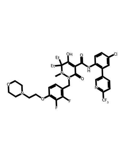 CCC1(CC)C(O)=C(C(=O)Nc2ccc(Cl)cc2-c2ccc(C(F)(F)F)nc2)C(=O)N(Cc2ccc(OCCN3CCOCC3)c(F)c2F)N1C